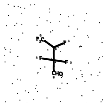 O=CC(F)(F)C(F)C(F)(F)F